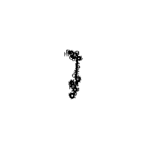 Nc1ncnc2c1c(-c1ccc(Oc3ccccc3)cc1)nn2C1CCCN(C(=O)COCCOCCSc2cccc3c2C(=O)N(C2CCC(=O)NC2=O)C3=O)C1